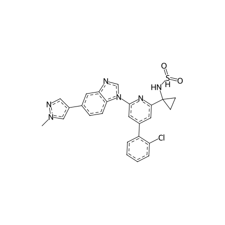 Cn1cc(-c2ccc3c(c2)ncn3-c2cc(-c3ccccc3Cl)cc(C3(N[SH](=O)=O)CC3)n2)cn1